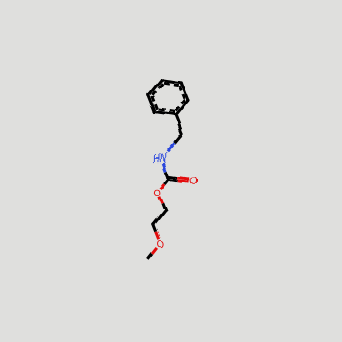 COCCOC(=O)NCc1ccccc1